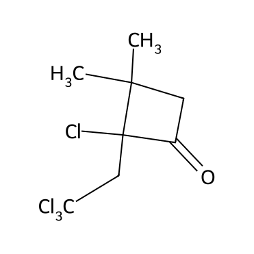 CC1(C)CC(=O)C1(Cl)CC(Cl)(Cl)Cl